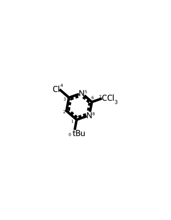 CC(C)(C)c1cc(Cl)nc(C(Cl)(Cl)Cl)n1